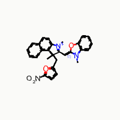 CN1/C(=C/C2=[N+](C)c3ccc4ccccc4c3C2(C)Cc2ccc([N+](=O)[O-])o2)Oc2ccccc21